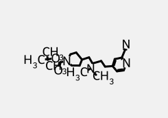 CN(C)C(CCc1ccnc(C#N)c1)CC1CCN(C(=O)OC(C)(C)C)CC1